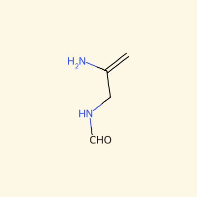 C=C(N)CNC=O